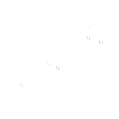 CCN(CC)c1ccc(/N=N/c2cc[n+](C)cc2)cc1